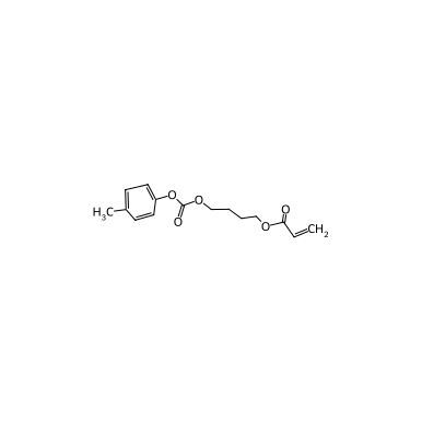 C=CC(=O)OCCCCOC(=O)Oc1ccc(C)cc1